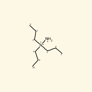 CCC[N+](N)(CCC)CCC